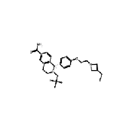 NC(=O)c1ccc2c(c1)CCN(CC(F)(F)F)[C@H]2c1ccc(OCCN2CC(CF)C2)cc1